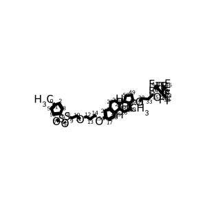 Cc1ccc(S(=O)(=O)SCCOCCCOc2ccc3c(c2)CC[C@@H]2[C@@H]3CC[C@]3(C)[C@@H](OCCCOC(C(F)(F)F)(C(F)(F)F)C(F)(F)F)CC[C@@H]23)cc1